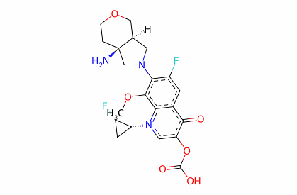 COc1c(N2C[C@@H]3COCC[C@@]3(N)C2)c(F)cc2c(=O)c(OC(=O)O)cn([C@@H]3C[C@@H]3F)c12